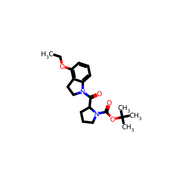 CCOc1cccc2c1CCN2C(=O)C1CCCN1C(=O)OC(C)(C)C